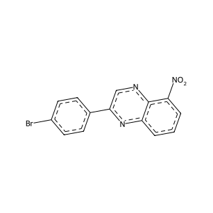 O=[N+]([O-])c1cccc2nc(-c3ccc(Br)cc3)cnc12